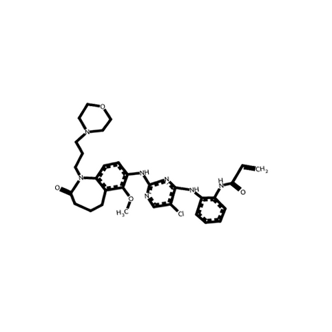 C=CC(=O)Nc1ccccc1Nc1nc(Nc2ccc3c(c2OC)CCCC(=O)N3CCCN2CCOCC2)ncc1Cl